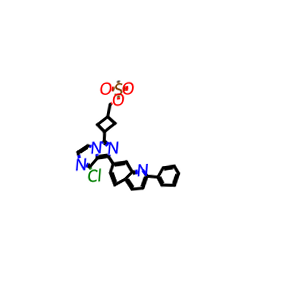 CS(=O)(=O)OCC1CC(c2nc(-c3ccc4ccc(-c5ccccc5)nc4c3)c3c(Cl)nccn23)C1